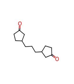 O=C1CCC(CCCC2CCC(=O)C2)C1